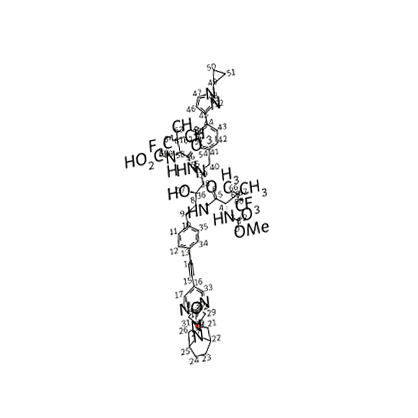 COC(=O)N[C@H](C(=O)N[C@@H](Cc1ccc(C#Cc2cnc(N3CC4CCC(C3)N4C3COC3)nc2)cc1)[C@@H](O)CN(Cc1ccc(-c2ccn(C3CC3)n2)cc1)NC(=O)[C@@H](NC(=O)O)C(C)(C)C(F)(F)F)C(C)(C)C(F)(F)F